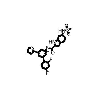 CS(=O)(=O)Nc1ccc2cc(C(=O)Nc3cc(-c4cccs4)cc(-c4ccc(F)cc4F)c3)[nH]c2c1